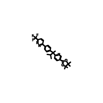 CC(C)C(C)(c1ccc(-c2ccc(C(F)(F)F)nn2)cc1)c1ccc(B2OC(C)(C)C(C)(C)O2)cn1